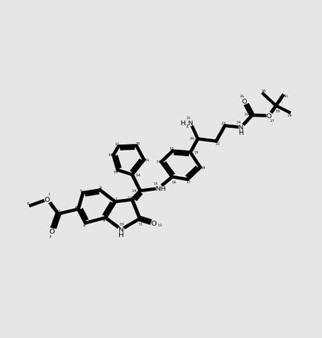 COC(=O)c1ccc2c(c1)NC(=O)/C2=C(\Nc1ccc(C(N)CCNC(=O)OC(C)(C)C)cc1)c1ccccc1